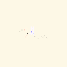 CCOC(=O)NC(C)OC